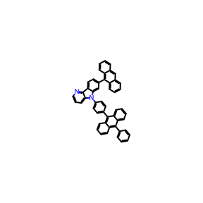 c1ccc(-c2c3ccccc3c(-c3ccc(-n4c5cc(-c6c7ccccc7cc7ccccc67)ccc5c5ncccc54)cc3)c3ccccc23)cc1